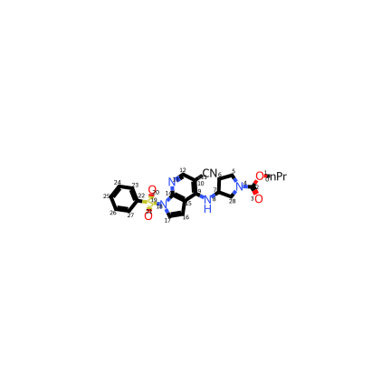 CCCOC(=O)N1CCC(Nc2c(C#N)cnc3c2ccn3S(=O)(=O)c2ccccc2)C1